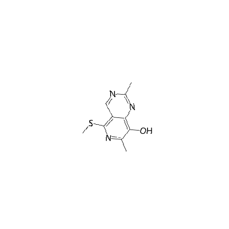 CSc1nc(C)c(O)c2nc(C)ncc12